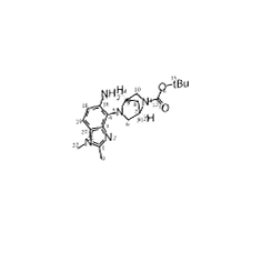 Cc1nc2c(N3C[C@H]4C[C@@H]3CN4C(=O)OC(C)(C)C)c(N)ccc2n1C